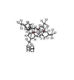 Cl.Cl.[CH2]=[Zr]([C]1=C(C)C([Si](C)(C)C)=CC1C)([c]1ccc(C(C)(C)C)cc1)([c]1ccc(C(C)(C)C)cc1)[c]1cc(C(C)(C)C)cc2c1Cc1ccc(C(C)(C)C)cc1-2